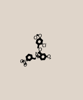 COc1ccc2c(c1)c(OCc1cc3c(cc1Cl)OCO3)nn2Cc1cccc([N+](=O)[O-])c1